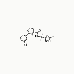 Cc1nc(C(C)(C)NC(=O)c2cccc(-c3cccc(Cl)c3)n2)no1